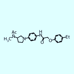 CCc1ccc(OCC(=O)Nc2ccc(N3CCC(N(C)C(C)=O)C3)cc2)cc1